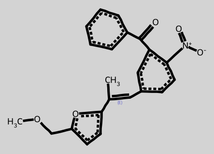 COCc1ccc(/C(C)=C/c2ccc([N+](=O)[O-])c(C(=O)c3ccccc3)c2)o1